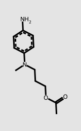 CC(=O)OCCCN(C)c1ccc(N)cc1